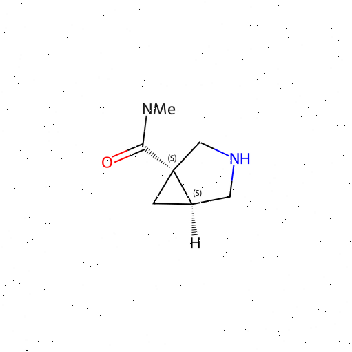 CNC(=O)[C@]12CNC[C@H]1C2